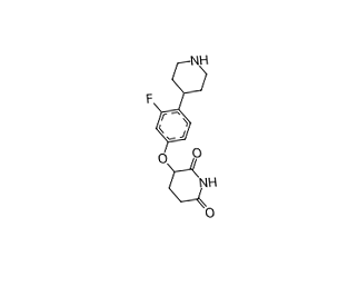 O=C1CCC(Oc2ccc(C3CCNCC3)c(F)c2)C(=O)N1